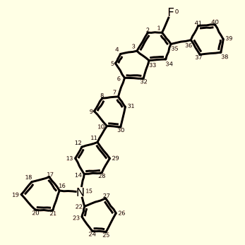 Fc1cc2ccc(-c3ccc(-c4ccc(N(c5ccccc5)c5ccccc5)cc4)cc3)cc2cc1-c1ccccc1